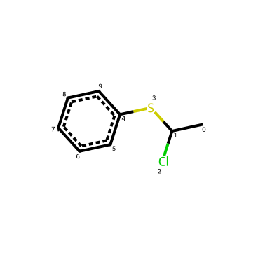 CC(Cl)Sc1cc[c]cc1